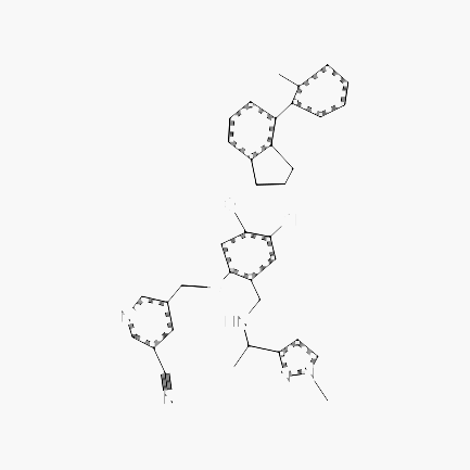 CC(NCc1cc(Cl)c(O[C@H]2CCc3c(-c4ccccc4F)cccc32)cc1OCc1cncc(C#N)c1)c1ccn(C)n1